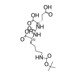 CC(C)(C)OC(=O)NCCCC[C@H](NC(=O)N[C@@H](CCC(=O)O)C(=O)O)C(=O)O